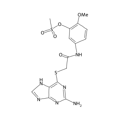 COc1ccc(NC(=O)CSc2nc(N)nc3nc[nH]c23)cc1OS(C)(=O)=O